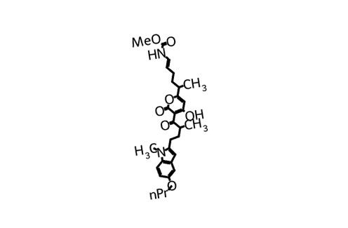 CCCOc1ccc2c(c1)cc(CCC(C)C(=O)c1c(O)cc(C(C)CC/C=C/NC(=O)OC)oc1=O)n2C